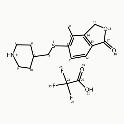 Cc1c(SCC2CCNCC2)ccc2c1COC2=O.O=C(O)C(F)(F)F